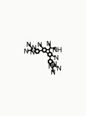 N#CC(=C1c2cc(C#N)c(-c3ccc4nc(C#N)c(C#N)nc4c3)cc2-c2cc(-c3ccc4nc(C#N)c(C#N)nc4c3)c(C#N)cc21)C1CN1